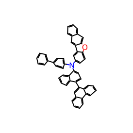 c1ccc(-c2ccc(N(c3ccc4oc5cc6ccccc6cc5c4c3)c3ccc(-c4cc5ccccc5c5ccccc45)c4ccccc34)cc2)cc1